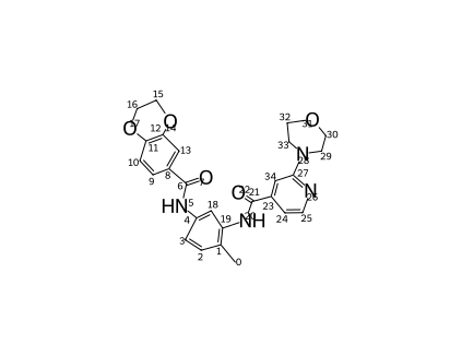 Cc1ccc(NC(=O)c2ccc3c(c2)OCCO3)cc1NC(=O)c1ccnc(N2CCOCC2)c1